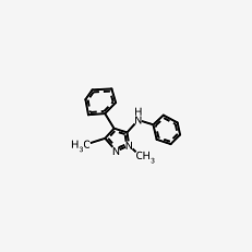 Cc1nn(C)c(Nc2ccccc2)c1-c1ccccc1